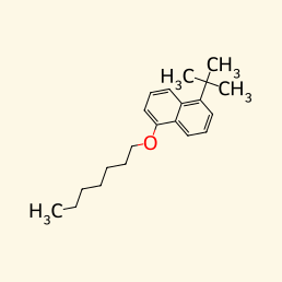 CCCCCCCOc1cccc2c(C(C)(C)C)cccc12